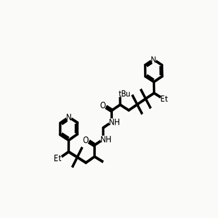 CCC(c1ccncc1)C(C)(C)CC(C)C(=O)NCNC(=O)C(CC(C)(C)C(C)(C)C(CC)c1ccncc1)C(C)(C)C